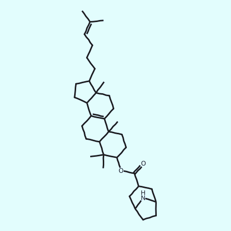 CC(C)=CCCCC1CCC2C3=C(CCC12C)C1(C)CCC(OC(=O)C2CC4CCC(C2)N4)C(C)(C)C1CC3